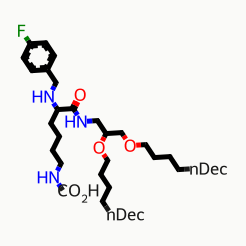 CCCCCCCCCCCCCCOCC(CNC(=O)C(CCCCNC(=O)O)NCc1ccc(F)cc1)OCCCCCCCCCCCCCC